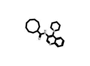 O=C(Nc1cnc2ccccc2c1N1CCCCC1)C1CCCCCCCC1